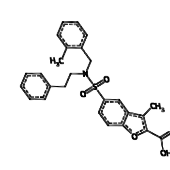 Cc1ccccc1CN(CCc1ccccc1)S(=O)(=O)c1ccc2oc(C(=O)O)c(C)c2c1